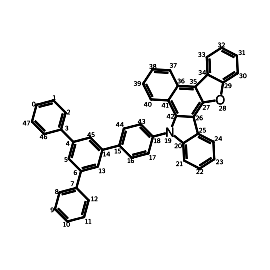 c1ccc(-c2cc(-c3ccccc3)cc(-c3ccc(-n4c5ccccc5c5c6oc7ccccc7c6c6ccccc6c54)cc3)c2)cc1